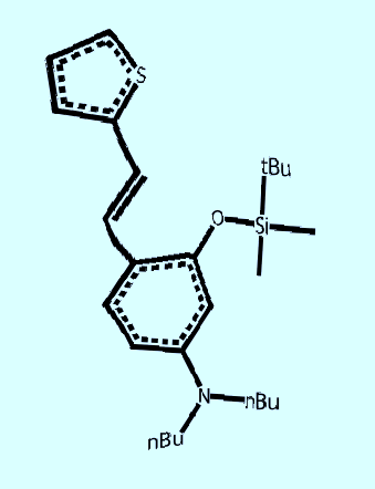 CCCCN(CCCC)c1ccc(C=Cc2cccs2)c(O[Si](C)(C)C(C)(C)C)c1